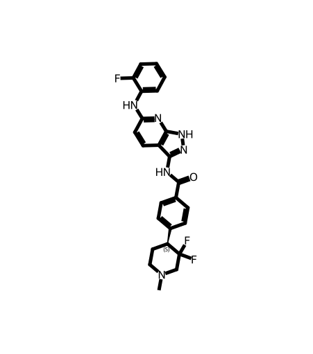 CN1CC[C@@H](c2ccc(C(=O)Nc3n[nH]c4nc(Nc5ccccc5F)ccc34)cc2)C(F)(F)C1